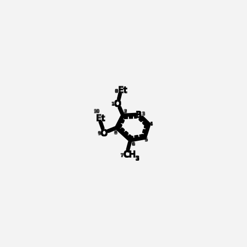 CCOc1bccc(C)c1OCC